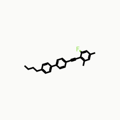 CCCCc1ccc(-c2ccc(C#Cc3c(C)cc(C)cc3F)cc2)cc1